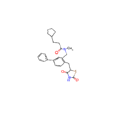 CN(Cc1cc(-c2ccccc2)ccc1CC1SC(=O)NC1=O)C(=O)CCC1CCCC1